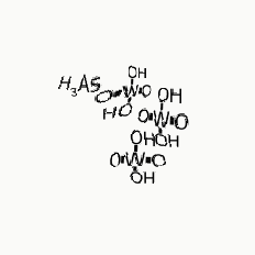 [AsH3].[O]=[W](=[O])([OH])[OH].[O]=[W](=[O])([OH])[OH].[O]=[W](=[O])([OH])[OH]